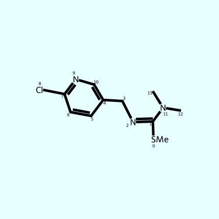 CSC(=NCc1ccc(Cl)nc1)N(C)C